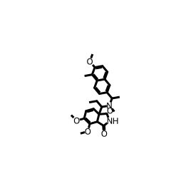 CCC(N(C)C(C)c1ccc2c(C)c(OC)ccc2c1)C12C=CC(OC)=C(OC)C1C(=O)NC2=O